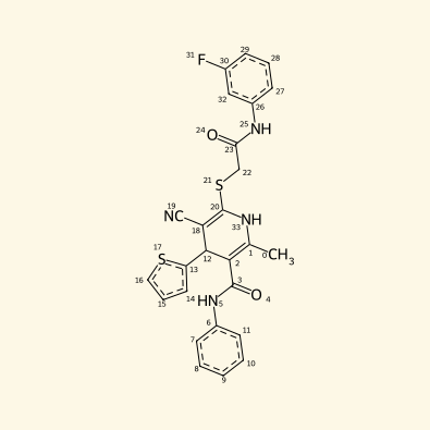 CC1=C(C(=O)Nc2ccccc2)C(c2cccs2)C(C#N)=C(SCC(=O)Nc2cccc(F)c2)N1